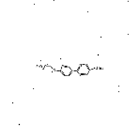 CCCCCCc1cnc(-c2ccc(OCC(=O)OCC)cc2)nc1